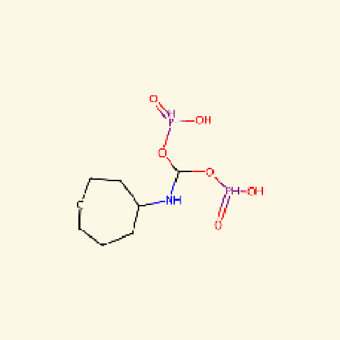 O=[PH](O)OC(NC1CCCCCC1)O[PH](=O)O